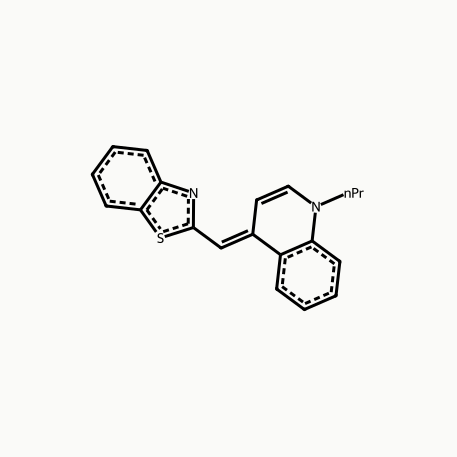 CCCN1C=C/C(=C\c2nc3ccccc3s2)c2ccccc21